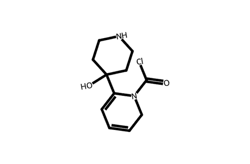 O=C(Cl)N1CC=CC=C1C1(O)CCNCC1